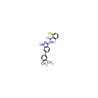 Cc1ccc(-c2ccc3c(NC(=O)c4c(F)cccc4Cl)n[nH]c3c2)cc1C